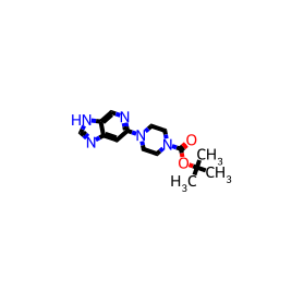 CC(C)(C)OC(=O)N1CCN(c2cc3nc[nH]c3cn2)CC1